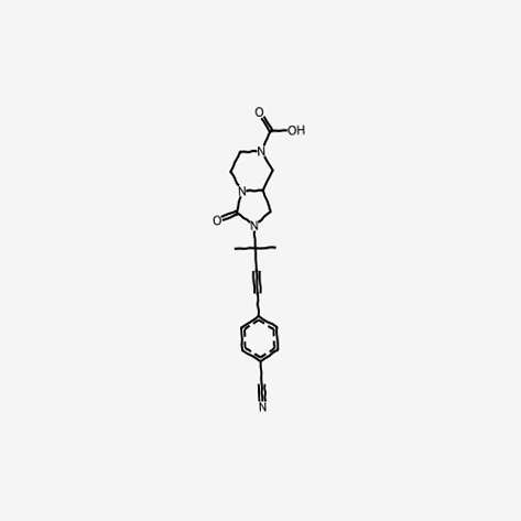 CC(C)(C#Cc1ccc(C#N)cc1)N1CC2CN(C(=O)O)CCN2C1=O